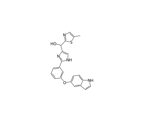 Cc1cnc(C(O)c2c[nH]c(-c3cccc(Oc4ccc5[nH]ccc5c4)c3)n2)s1